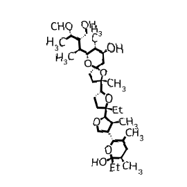 CCC1(O)O[C@H](C2CO[C@@H]([C@]3(CC)CC[C@H]([C@]4(C)CC[C@]5(C[C@H](O)[C@@H](C)[C@@H]([C@@H](C)[C@@H](CO)[C@H](C)C=O)O5)O4)O3)[C@H]2C)C(C)C[C@H]1C